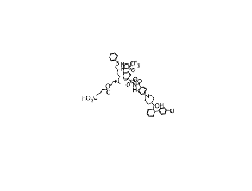 CN(CCOC(=O)CCCC(=O)O)CCC(CSc1ccccc1)Nc1ccc(S(=O)(=O)NC(=O)c2ccc(N3CCC(C(O)c4ccccc4-c4ccc(Cl)cc4)CC3)cc2)cc1S(=O)(=O)C(F)(F)F